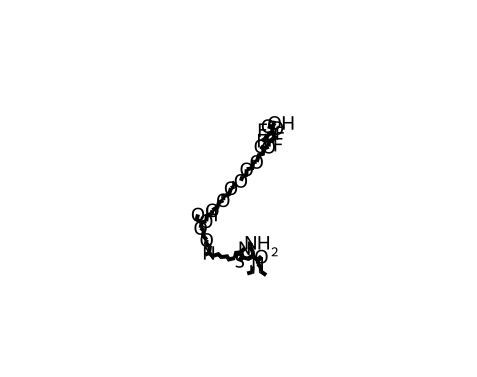 CCCN(CCC)C(=O)C1=Cc2sc(CCCCCN(C)CCOCCOC(CO)OCCOCCOCCOCCOCCOCCOCCC(=O)Oc3c(F)c(F)c(S(=O)(=O)O)c(F)c3F)cc2N=C(N)C1